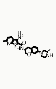 Cc1ccc2c(N)c(C(=O)N[C@H]3COc4cc(N5CCN[C@H](C)C5)ccc4C3)sc2n1